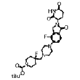 CC(C)(C)OC(=O)N1CCC(F)(CN2CCN(c3ccc4c(c3F)CN(C3CCC(=O)NC3=O)C4=O)CC2)CC1